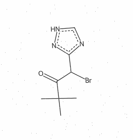 CC(C)(C)C(=O)C(Br)c1nc[nH]n1